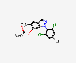 COC(=O)Oc1cc2c(cnn2-c2c(Cl)cc(C(F)(F)F)cc2Cl)cc1[N+](=O)[O-]